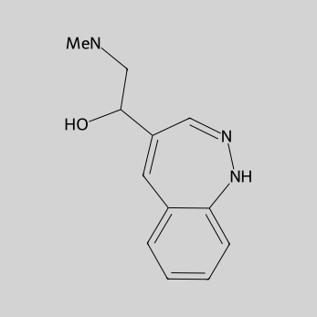 CNCC(O)C1=Cc2ccccc2NN=C1